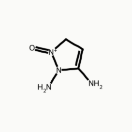 NC1=CC[N+](=O)N1N